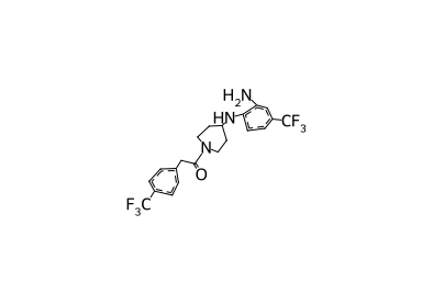 Nc1cc(C(F)(F)F)ccc1NC1CCN(C(=O)Cc2ccc(C(F)(F)F)cc2)CC1